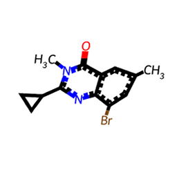 Cc1cc(Br)c2nc(C3CC3)n(C)c(=O)c2c1